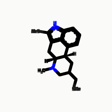 CSCC1C[C@@H]2c3cccc4[nH]c(SC)c(c34)C[C@H]2N(C)C1